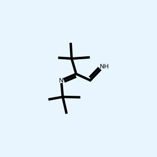 CC(C)(C)N=C(C=N)C(C)(C)C